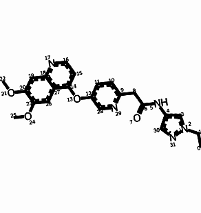 CCn1cc(NC(=O)Cc2ccc(Oc3ccnc4cc(OC)c(OC)cc34)cn2)cn1